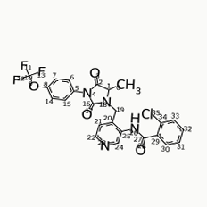 CC1C(=O)N(c2ccc(OC(F)(F)F)cc2)C(=O)N1Cc1ccncc1NC(=O)c1ccccc1Cl